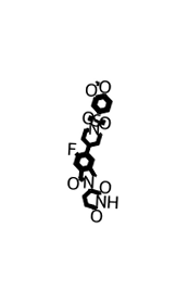 O=C1CCC(N2Cc3cc(C4CCN(S(=O)(=O)c5ccc6c(c5)OCO6)CC4)c(F)cc3C2=O)C(=O)N1